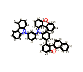 CC1CC=Cc2c1c1ccccc1n2-c1cccc(N(c2cccc(-c3cccc4oc5c6ccccc6ccc5c34)c2)c2cccc3oc4ccccc4c23)c1